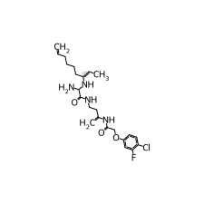 C=CCCCC/C(=C/C)NC(N)C(=O)NCCC(=C)NC(=O)COc1ccc(Cl)c(F)c1